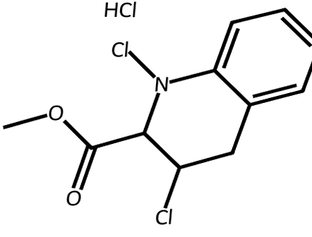 COC(=O)C1C(Cl)Cc2ccccc2N1Cl.Cl